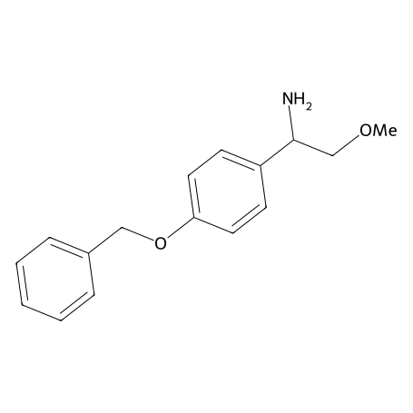 COCC(N)c1ccc(OCc2ccccc2)cc1